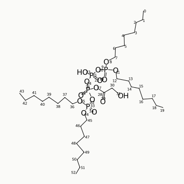 CCCCCCCCOP(=O)(OCCCCCCCC)OP(=O)(O)OP(=O)(OC(=O)CO)OP(=O)(OCCCCCCCC)OCCCCCCCC